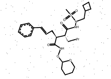 CC(C)C[C@@H](C(=O)NN(CC1CCC1)S(C)(=O)=O)[C@H](CC=Cc1ccccc1)C(=O)NOC1CCCCO1